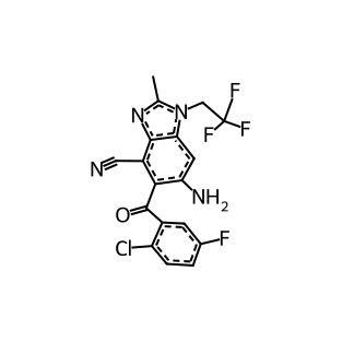 Cc1nc2c(C#N)c(C(=O)c3cc(F)ccc3Cl)c(N)cc2n1CC(F)(F)F